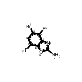 Nc1nc2c(F)c(Br)cc(F)c2o1